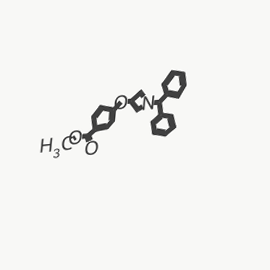 COC(=O)c1ccc(OC2CN(C(c3ccccc3)c3ccccc3)C2)cc1